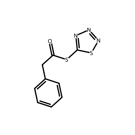 O=C(Cc1ccccc1)Sc1nnns1